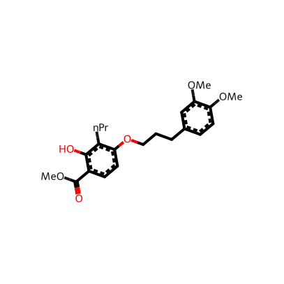 CCCc1c(OCCCc2ccc(OC)c(OC)c2)ccc(C(=O)OC)c1O